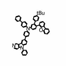 CC(C)(C)c1ccc(-c2cc(N(c3ccc(-c4ccccc4)cc3)c3ccc(-c4ccc5c(c4)c4cnccc4n5-c4ccccc4)cc3)ccc2-c2cccc3c2oc2ccccc23)cc1